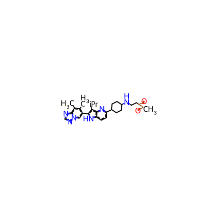 Cc1c(-c2[nH]c3ccc(C4CCC(NCCS(C)(=O)=O)CC4)nc3c2C(C)C)cn2ncnc2c1C